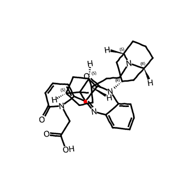 CC1(C)[C@H]2CC[C@@H](CCN3[C@@H]4CCC[C@H]3C[C@@H](n3c(=O)c(-c5cccc(=O)n5CC(=O)O)nc5ccccc53)C4)[C@@H]1C2